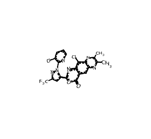 Cc1nc2cc3c(=O)oc(-c4cc(C(F)(F)F)nn4-c4ncccc4Cl)nc3c(Cl)c2nc1C